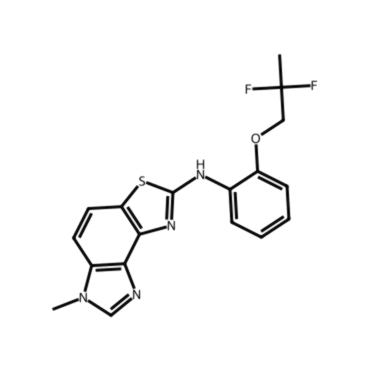 Cn1cnc2c3nc(Nc4ccccc4OCC(C)(F)F)sc3ccc21